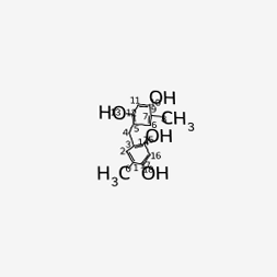 Cc1cc(Cc2cc(C)c(O)cc2O)c(O)cc1O